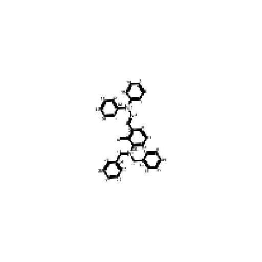 Cc1c(C=NN(c2ccccc2)c2ccccc2)cccc1N(Cc1ccccc1)Cc1ccccc1